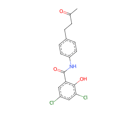 CC(=O)CCc1ccc(NC(=O)c2cc(Cl)cc(Cl)c2O)cc1